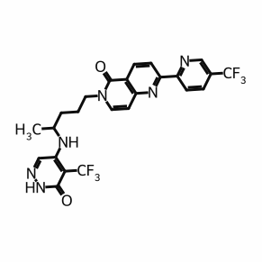 CC(CCCn1ccc2nc(-c3ccc(C(F)(F)F)cn3)ccc2c1=O)Nc1cn[nH]c(=O)c1C(F)(F)F